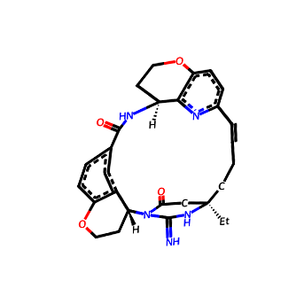 CC[C@]12CC/C=C\c3ccc4c(n3)[C@H](CCO4)NC(=O)c3ccc4c(c3)[C@@H](CCO4)N(C(=N)N1)C(=O)C2